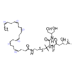 CC/C=C\C/C=C\C/C=C\C/C=C\C/C=C\C/C=C\CCC(=O)NCCSSC(C)(C)[C@H](NC(=O)CC(O)CN(C)C)C(=O)NC(CO)CO